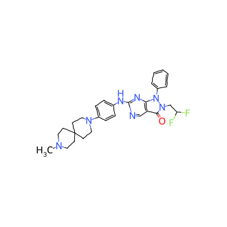 CN1CCC2(CC1)CCN(c1ccc(Nc3ncc4c(=O)n(CC(F)F)n(-c5ccccc5)c4n3)cc1)CC2